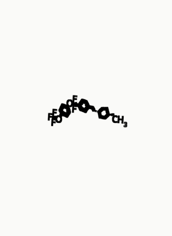 CC[C@H]1CC[C@H](CCc2ccc(C(F)(F)Oc3ccc(OC(F)(F)F)cc3)cc2)CC1